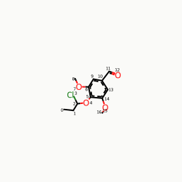 CCC(Cl)Oc1c(OC)cc(C=O)cc1OC